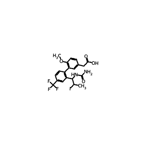 COc1ccc(CC(=O)O)cc1-c1ccc(C(F)(F)F)cc1C(NC(N)=O)C(C)I